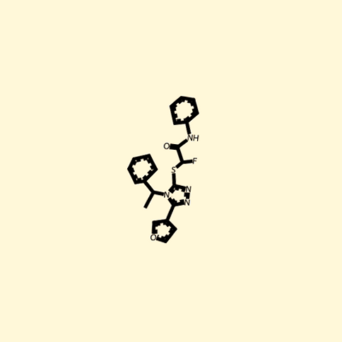 CC(c1ccccc1)n1c(SC(F)C(=O)Nc2ccccc2)nnc1-c1ccoc1